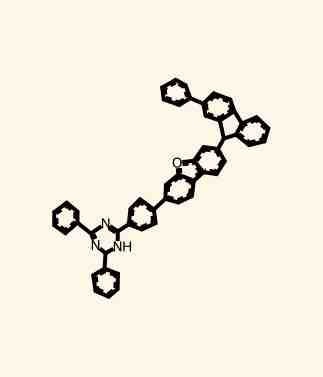 c1ccc(C2=NC(c3ccccc3)NC(c3ccc(-c4ccc5c(c4)oc4cc(C6c7ccccc7-c7ccc(-c8ccccc8)cc76)ccc45)cc3)=N2)cc1